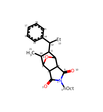 CCCCCCCCN1C(=O)C2C3OC(C2C1=O)C(C(CC)c1ccccc1)C3C